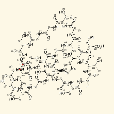 CC(C)C[C@H](NC(=O)[C@H](Cc1c[nH]cn1)NC(=O)[C@@H](NC(=O)[C@H](C)NC(=O)[C@H](CO)NC(=O)CNC(=O)[C@H](CO)NC(=O)CNC(=O)[C@H](CO)NC(=O)[C@H](CO)NC(=O)[C@H](C)NC(=O)[C@H](CO)NC(=O)[C@H](CO)NC(=O)CNC(=O)[C@H](CO)NC(=O)CNC(=O)CNC(=O)[C@@H](NC(=O)[C@H](C)NC(=O)[C@H](CO)NC(=O)CNC(=O)[C@H](CO)NC(=O)CN)[C@@H](C)O)[C@@H](C)O)C(=O)O